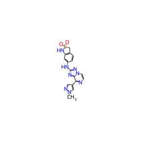 Cn1cc(-c2nccn3nc(Nc4ccc5c(c4)NS(=O)(=O)C5)nc23)cn1